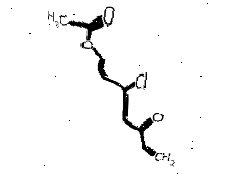 C=CC(=O)C=C(Cl)C=COC(C)=O